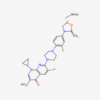 C=C1O[C@@H](CNC(C)=O)CN1c1ccc(N2CCN(c3nc4c(cc3F)c(=O)c(C(=O)O)cn4C3CC3)CC2)c(F)c1